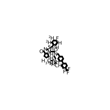 [2H]c1c([2H])c(CSc2nc(=O)c3c(n2C([2H])([2H])C(=O)N(CCN(C([2H])([2H])C)C([2H])([2H])C)Cc2ccc(-c4ccc(C(F)(F)F)cc4)cc2)CCC3)c([2H])c([2H])c1F